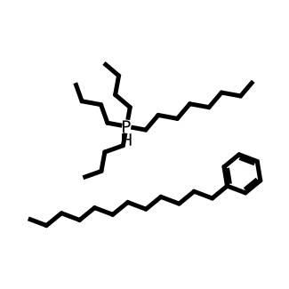 CCCCCCCCCCCCc1ccccc1.CCCCCCCC[PH](CCCC)(CCCC)CCCC